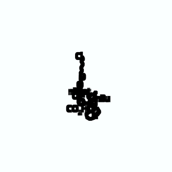 C=c1c(CCCCC)cc2c(c1CCCC)Oc1c(cc3c4c1CCCN4CCCC3)C=2c1cc(C(=O)NCCOCCOCCCCCCCl)ccc1C(=O)O